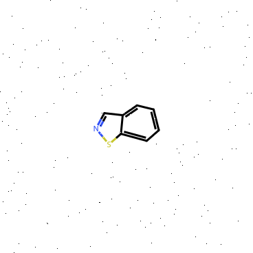 [c]1nsc2ccccc12